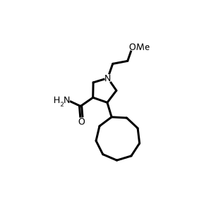 COCCN1CC(C(N)=O)C(C2CCCCCCCC2)C1